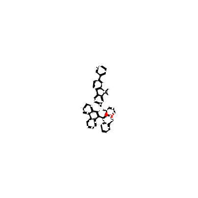 CC1(C)c2cc(-c3ccccc3)ccc2-c2ccc(N(c3ccccc3)c3c(-c4cccc5ccccc45)c4ccccc4c4ccccc34)cc21